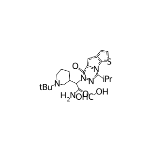 CC(C)c1nn(C(C(N)=O)C2CCCN(C(C)(C)C)C2)c(=O)c2cc3ccsc3n12.O=CO